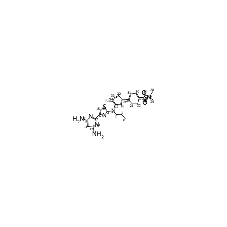 CCCN(c1nc(-c2nc(N)cc(N)n2)cs1)c1cc(-c2ccc(S(=O)(=O)N(C)C)cc2)ccc1C